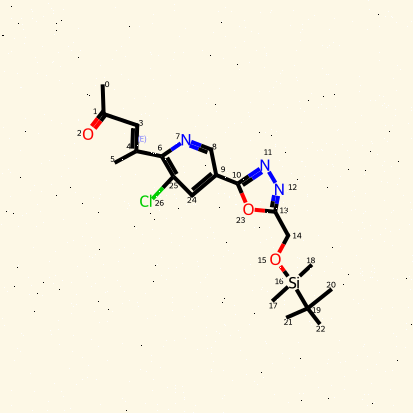 CC(=O)/C=C(\C)c1ncc(-c2nnc(CO[Si](C)(C)C(C)(C)C)o2)cc1Cl